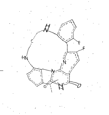 CC(C)c1cccc2c1-n1c(=O)[nH]c(=O)c3cc(F)c(nc31)-c1c(F)cccc1NCCCN2